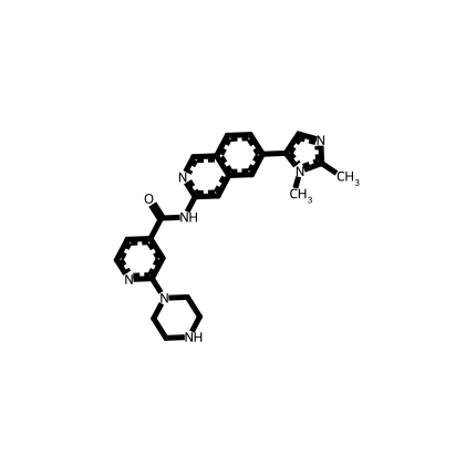 Cc1ncc(-c2ccc3cnc(NC(=O)c4ccnc(N5CCNCC5)c4)cc3c2)n1C